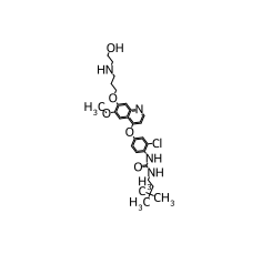 COc1cc2c(Oc3ccc(NC(=O)NCCC(C)(C)C)c(Cl)c3)ccnc2cc1OCCCNCCO